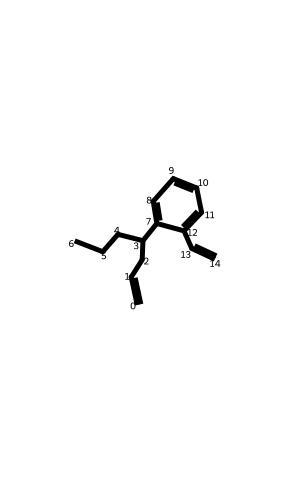 C=CCC(CCC)c1ccccc1C=C